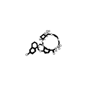 O=C1NS(=O)(=O)CCC=CC[C@@H](O)[C@@H]2CC[C@H]2CN2C[C@@]3(CCCc4cc(Cl)ccc43)COc3ccc1cc32